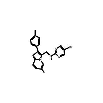 Cc1ccc(-c2nc3ccc(C)cn3c2CNc2ncc(Br)cn2)cc1